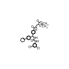 CC1(C)OC(=O)C(CNC(=O)c2ccc(C(NC(=O)Nc3cc(Cl)cc(Cl)c3)c3ccc(C4=CCCCC4)cc3)cc2)O1